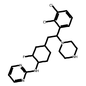 FC1CC(CC(c2cccc(Cl)c2Cl)N2CCNCC2)CCC1Nc1ncccn1